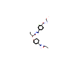 CCc1nc(-c2ccc(OC(CC)c3nc(-c4ccc(C(=O)N[C@@H](C)CO)c(F)c4)no3)cc2)no1